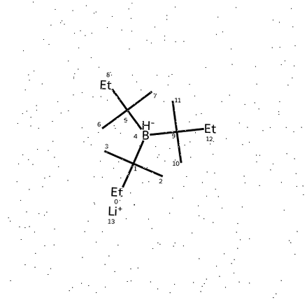 CCC(C)(C)[BH-](C(C)(C)CC)C(C)(C)CC.[Li+]